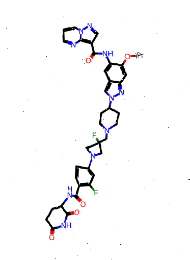 CC(C)Oc1cc2nn(C3CCN(CC4(F)CN(c5ccc(C(=O)NC6CCC(=O)NC6=O)c(F)c5)C4)CC3)cc2cc1NC(=O)c1cnn2cccnc12